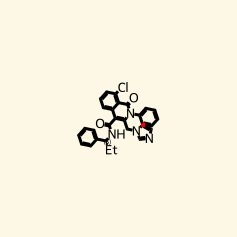 CC[C@H](NC(=O)c1c(Cn2ccnc2)n(-c2ccccc2)c(=O)c2c(Cl)cccc12)c1ccccc1